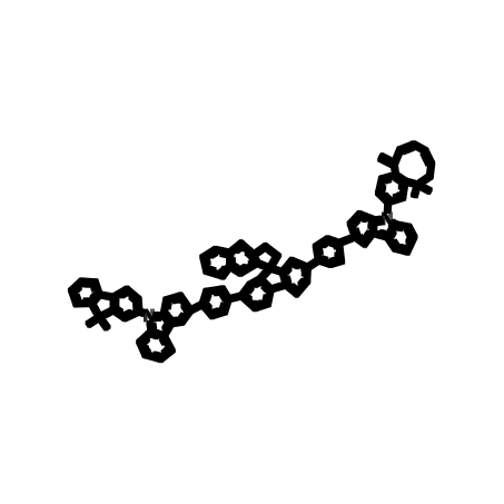 C=C1/C=C\C=C/CC(C)(C)c2cc(-n3c4ccccc4c4cc(-c5ccc(-c6ccc7c(c6)C6(CCc8cc9ccccc9cc86)c6cc(-c8ccc(-c9ccc%10c(c9)c9ccccc9n%10-c9ccc%10c(c9)C(C)(C)c9ccccc9-%10)cc8)ccc6-7)cc5)ccc43)ccc21